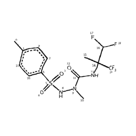 Cc1ccc(S(=O)(=O)NN(C)C(=O)NC(C)(C(F)F)C(F)(F)F)cc1